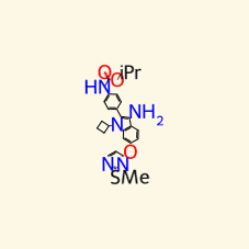 CSc1nccc(Oc2ccc3c(N)c(-c4ccc(NC(=O)OC(C)C)cc4)n(C4CCC4)c3c2)n1